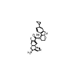 Nc1nc2cc(F)c(C(=O)N3CCO[C@@H]4Cc5cc(C6CC6)ccc5[C@@H]43)cc2n2cncc12